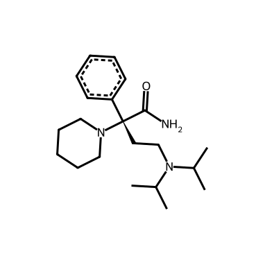 CC(C)N(CC[C@](C(N)=O)(c1ccccc1)N1CCCCC1)C(C)C